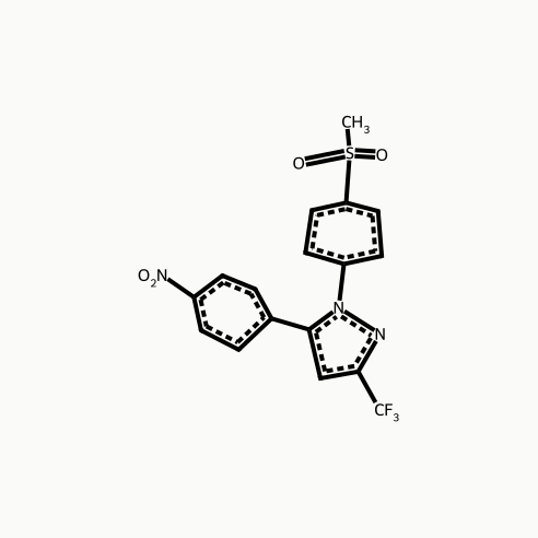 CS(=O)(=O)c1ccc(-n2nc(C(F)(F)F)cc2-c2ccc([N+](=O)[O-])cc2)cc1